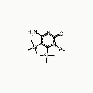 CC(=O)n1c([Si](C)(C)C)c([Si](C)(C)C)c(N)nc1=O